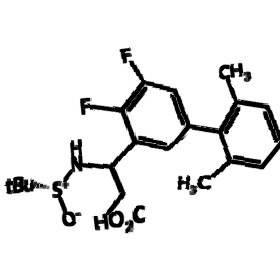 Cc1cccc(C)c1-c1cc(F)c(F)c(C(CC(=O)O)N[S@+]([O-])C(C)(C)C)c1